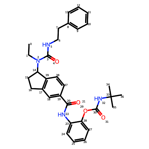 CCN(C(=O)NCCc1ccccc1)C1CCc2cc(C(=O)Nc3ccccc3OC(=O)NC(C)(C)C)ccc21